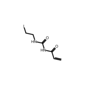 C=CC(=O)NC(=O)NCCI